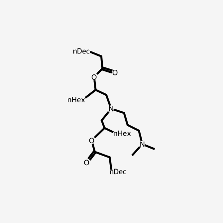 CCCCCCCCCCCC(=O)OC(CCCCCC)CN(CCCN(C)C)CC(CCCCCC)OC(=O)CCCCCCCCCCC